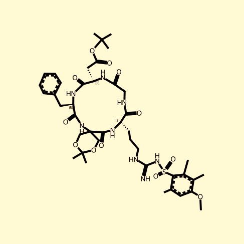 COc1cc(C)c(S(=O)(=O)NC(=N)NCCC[C@@H]2NC(=O)C3(COC(C)(C)OC3)NC(=O)[C@@H](Cc3ccccc3)NC(=O)[C@H](CC(=O)OC(C)(C)C)NC(=O)CNC2=O)c(C)c1C